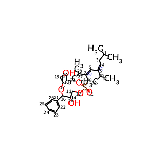 CC(C)C/C=C(\C=C(/CS(=O)(=O)OCC(O)C(OCCO)c1ccccc1)C(C)C)C(C)C